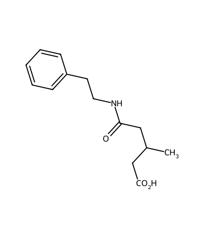 CC(CC(=O)O)CC(=O)NCCc1ccccc1